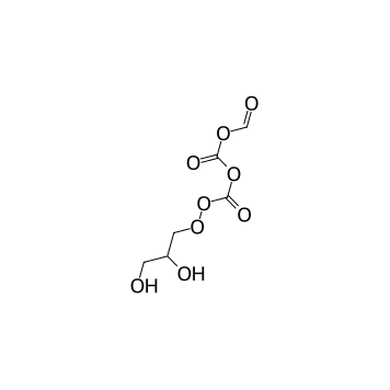 O=COC(=O)OC(=O)OOCC(O)CO